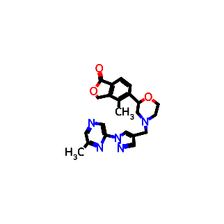 Cc1cncc(-n2cc(CN3CCOC(c4ccc5c(c4C)COC5=O)C3)cn2)n1